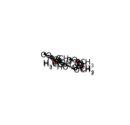 CCC1(CC)CC2(CC(C)(C)N1OC(C)c1ccc(OCC3CO3)cc1)OCC(CCCCC(O)CC1COC3(CC(C)(C)N(OC(C)c4ccc(OCC5CO5)cc4)C(CC)(CC)C3)O1)O2